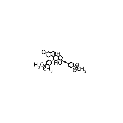 CN(C)c1ccc([C@H]2CC3[C@@H](CC[C@@]3(O)C#Cc3ccc(S(C)(=O)=O)cc3)[C@@H]3CCC4=CC(=O)CCC4=C32)cc1